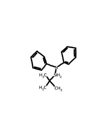 CC(C)(C)[SiH2]N(c1ccccc1)c1ccccc1